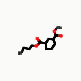 CCCCOC(=O)C1CCCC(C(=O)OCCCC(C)C)C1